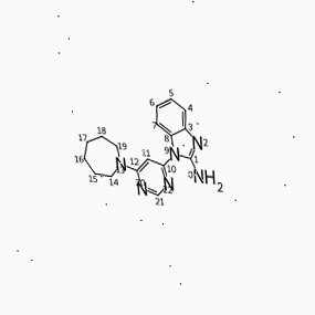 Nc1nc2ccccc2n1-c1cc(N2CCCCCC2)ncn1